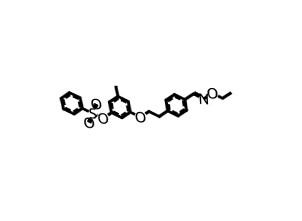 CCON=Cc1ccc(CCOc2cc(C)cc(OS(=O)(=O)c3ccccc3)c2)cc1